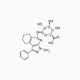 Cn1nc(-c2ccccc2)c2c3c(c(O[C@@H]4O[C@H](C(=O)O)[C@@H](O)[C@H](O)[C@H]4O)nc21)CCCC3